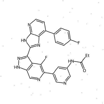 CCC(=O)Nc1cncc(-c2ncc3[nH]nc(-c4nc5c(-c6ccc(F)cc6)ccnc5[nH]4)c3c2F)c1